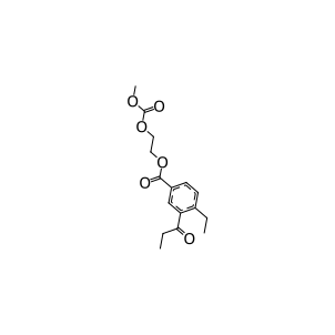 CCC(=O)c1cc(C(=O)OCCOC(=O)OC)ccc1CC